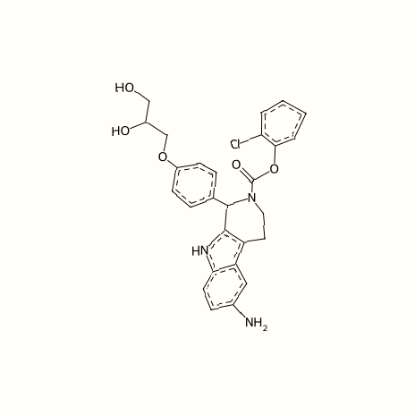 Nc1ccc2[nH]c3c(c2c1)CCN(C(=O)Oc1ccccc1Cl)C3c1ccc(OCC(O)CO)cc1